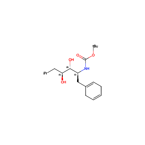 CC(C)C[C@H](O)[C@H](O)[C@H](CC1=CCC=CC1)NC(=O)OC(C)(C)C